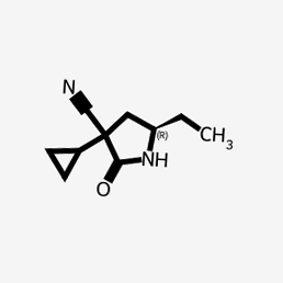 CC[C@@H]1CC(C#N)(C2CC2)C(=O)N1